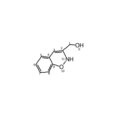 OCC1=Cc2ccccc2ON1